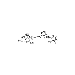 Cc1nc(C)c(Cl)c(NCc2nccc(SCCCS[C@]3(O)[C@H](O)O[C@H](CO)[C@@H](O)[C@@H]3O)c2C)n1